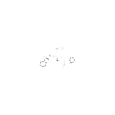 C[C@@](CCC(N)=O)(NC(=O)[CH]CC(F)(F)Cc1ccccc1)C(=O)c1nc2ccccc2o1